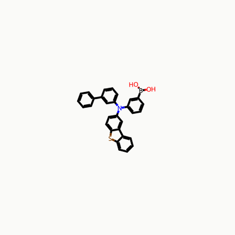 OB(O)c1cccc(N(c2cccc(-c3ccccc3)c2)c2ccc3sc4ccccc4c3c2)c1